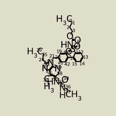 CCCCOC(=O)NS(=O)(=O)c1ccccc1-c1ccc(Cn2c(CCC)nc3c(C)c(NC(=O)NCC)cnc32)cc1